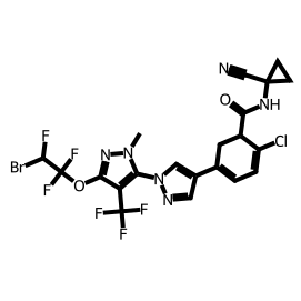 Cn1nc(OC(F)(F)C(F)Br)c(C(F)(F)F)c1-n1cc(C2=CC=C(Cl)C(C(=O)NC3(C#N)CC3)C2)cn1